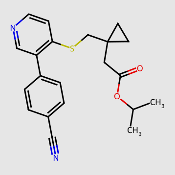 CC(C)OC(=O)CC1(CSc2ccncc2-c2ccc(C#N)cc2)CC1